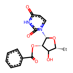 CC[C@H]1O[C@@H](n2ccc(=O)[nH]c2=O)[C@@H](OC(=O)c2ccccc2)C1O